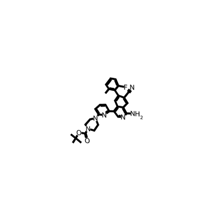 Cc1cccc(F)c1-c1cc2c(-c3cccc(N4CCN(C(=O)OC(C)(C)C)CC4)n3)cnc(N)c2cc1C#N